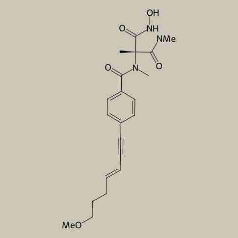 CNC(=O)[C@@](C)(C(=O)NO)N(C)C(=O)c1ccc(C#CC=CCCCOC)cc1